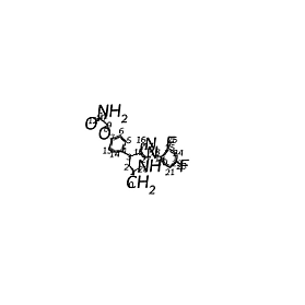 C=C1CC(c2ccc(OCC(N)=O)cc2)c2cnn(-c3ccc(F)cc3F)c2N1